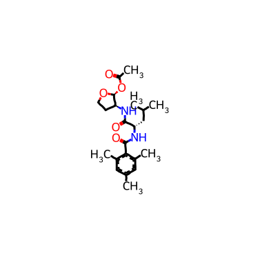 CC(=O)O[C@@H]1OCC[C@@H]1NC(=O)[C@H](CC(C)C)NC(=O)c1c(C)cc(C)cc1C